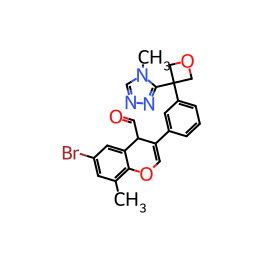 Cc1cc(Br)cc2c1OC=C(c1cccc(C3(c4nncn4C)COC3)c1)C2C=O